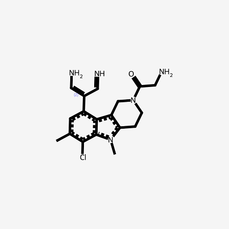 Cc1cc(/C(C=N)=C/N)c2c3c(n(C)c2c1Cl)CCN(C(=O)CN)C3